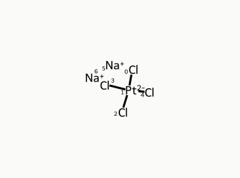 [Cl][Pt-2]([Cl])([Cl])[Cl].[Na+].[Na+]